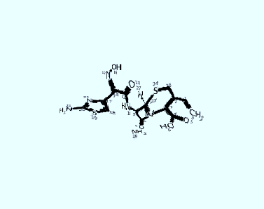 C=CC1=C(C(=O)O)N2C(=O)[C@@H](NC(=O)/C(=N\O)c3csc(N)n3)[C@H]2SC1.N